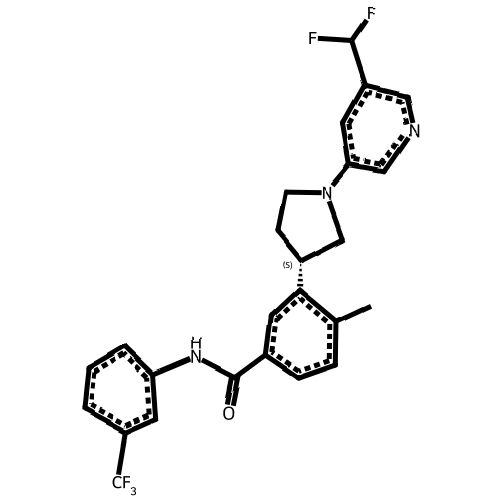 Cc1ccc(C(=O)Nc2cccc(C(F)(F)F)c2)cc1[C@@H]1CCN(c2cncc(C(F)F)c2)C1